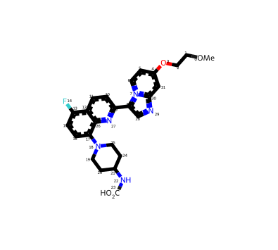 COCCOc1ccn2c(-c3ccc4c(F)ccc(N5CCC(NC(=O)O)CC5)c4n3)cnc2c1